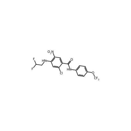 O=C(Nc1ccc(OC(F)(F)F)cc1)c1cc([N+](=O)[O-])c(NCC(F)F)cc1Cl